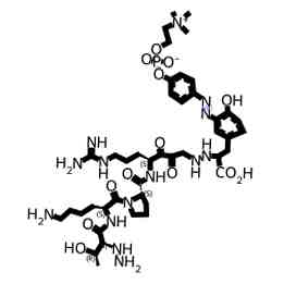 C[C@@H](O)[C@H](NN)C(=O)N[C@@H](CCCCN)C(=O)N1CCC[C@H]1C(=O)N[C@@H](CCCNC(=N)N)C(=O)C(=O)CNNC(Cc1ccc(O)c(/N=N/c2ccc(OP(=O)([O-])OCC[N+](C)(C)C)cc2)c1)C(=O)O